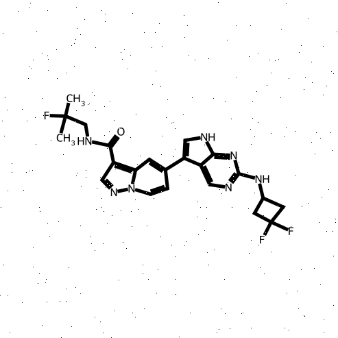 CC(C)(F)CNC(=O)c1cnn2ccc(-c3c[nH]c4nc(NC5CC(F)(F)C5)ncc34)cc12